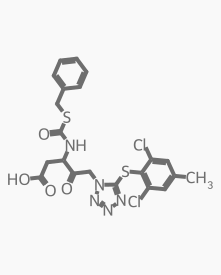 Cc1cc(Cl)c(Sc2nnnn2CC(=O)C(CC(=O)O)NC(=O)SCc2ccccc2)c(Cl)c1